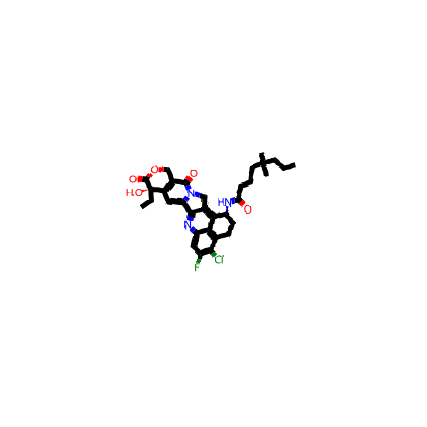 CCCC(C)(C)CCCC(=O)N[C@H]1CCc2c(Cl)c(F)cc3nc4c(c1c23)Cn1c-4cc2c(c1=O)COC(=O)[C@]2(O)CC